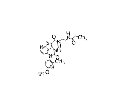 C=CC(=O)NCCNC(=O)c1sc2nccc3c2c1NC(=O)N3c1ccc(OC(C)C)nc1C